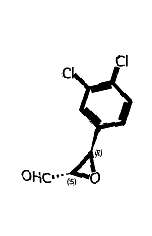 O=C[C@H]1O[C@@H]1c1ccc(Cl)c(Cl)c1